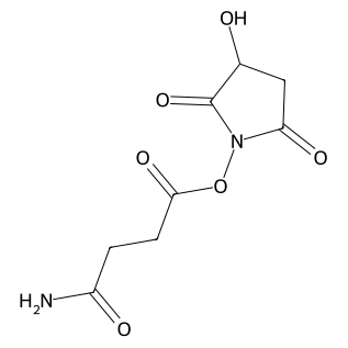 NC(=O)CCC(=O)ON1C(=O)CC(O)C1=O